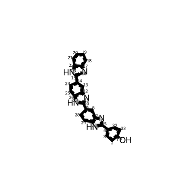 Oc1ccc(-c2nc3cc(-c4nc5cc(-c6nc7ccccc7[nH]6)ccc5[nH]4)ccc3[nH]2)cc1